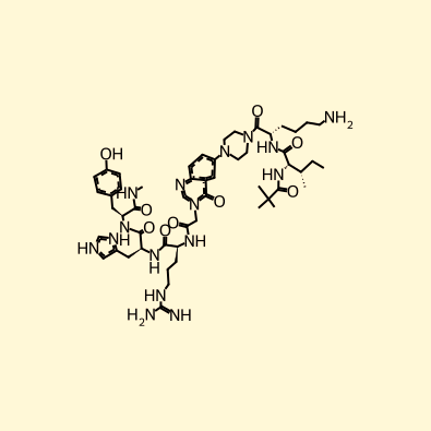 CC[C@H](C)[C@H](NC(=O)C(C)(C)C)C(=O)N[C@@H](CCCCN)C(=O)N1CCN(c2ccc3ncn(CC(=O)N[C@@H](CCCNC(=N)N)C(=O)N[C@@H](Cc4c[nH]cn4)C(=O)N[C@@H](Cc4ccc(O)cc4)C(=O)NC)c(=O)c3c2)CC1